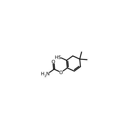 CC1(C)C=CC(OC(N)=O)=C(S)C1